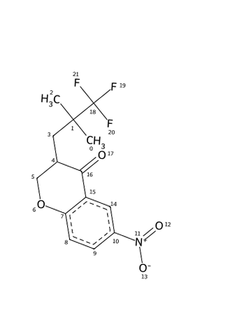 CC(C)(CC1COc2ccc([N+](=O)[O-])cc2C1=O)C(F)(F)F